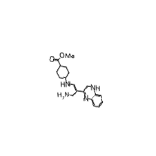 COC(=O)C1CCC(N/C=C(\CN)C2=Nc3ccccc3NC2)CC1